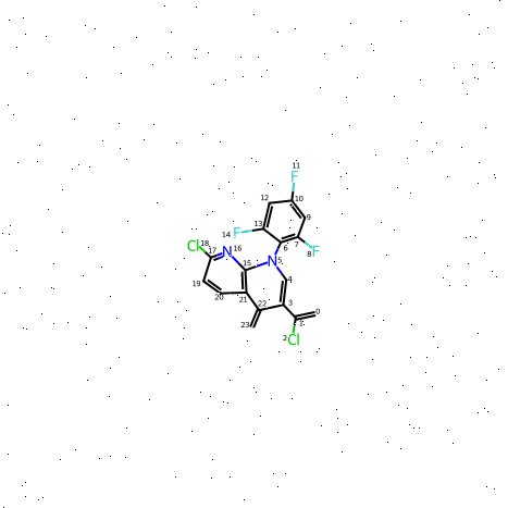 C=C(Cl)C1=CN(c2c(F)cc(F)cc2F)c2nc(Cl)ccc2C1=C